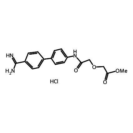 COC(=O)COCC(=O)Nc1ccc(-c2ccc(C(=N)N)cc2)cc1.Cl